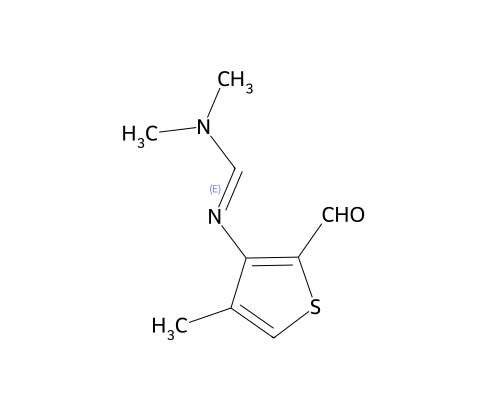 Cc1csc(C=O)c1/N=C/N(C)C